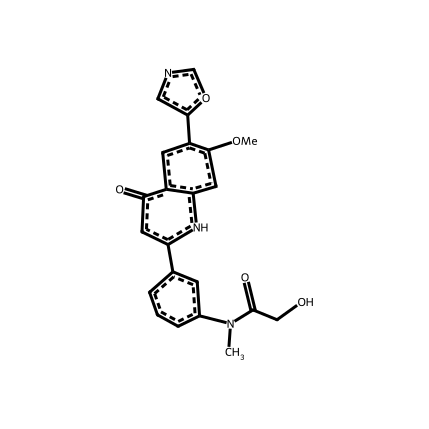 COc1cc2[nH]c(-c3cccc(N(C)C(=O)CO)c3)cc(=O)c2cc1-c1cnco1